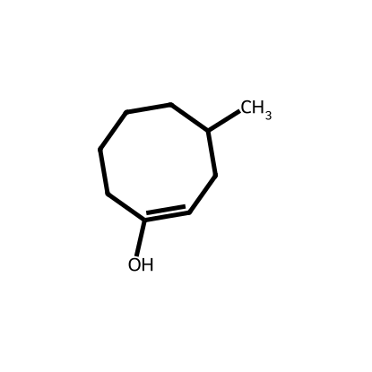 CC1CC=C(O)CCCC1